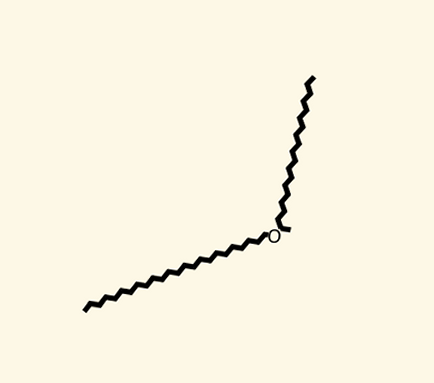 CCCCCCCCCCCCCCCCCCCCCCCCOC(C)CCCCCCCCCCCCCCCCCC